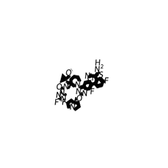 COCC1([C@H]2N(C(=O)n3cnc(F)n3)C[C@]23CCCCN(c2nc(OC[C@@]45CCCN4C[C@H](F)C5)nc4c(F)c(-c5ccc(F)c6sc(N)c(C#N)c56)c(Cl)cc24)C3)CC1